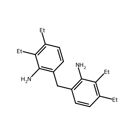 CCc1ccc(Cc2ccc(CC)c(CC)c2N)c(N)c1CC